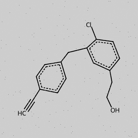 C#Cc1ccc(Cc2cc(CCO)ccc2Cl)cc1